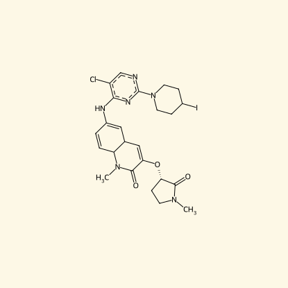 CN1CC[C@H](OC2=CC3C=C(Nc4nc(N5CCC(I)CC5)ncc4Cl)C=CC3N(C)C2=O)C1=O